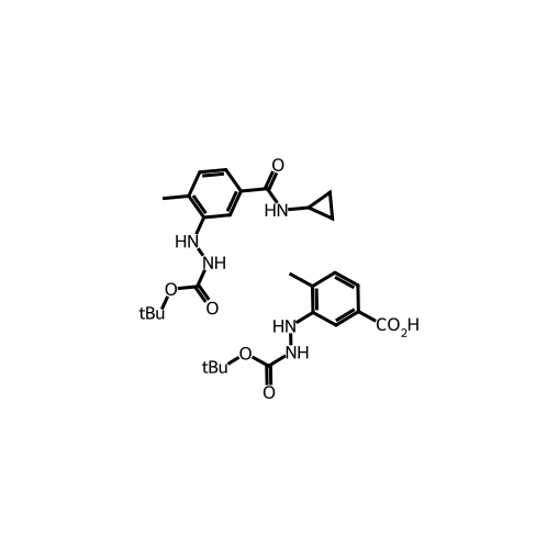 Cc1ccc(C(=O)NC2CC2)cc1NNC(=O)OC(C)(C)C.Cc1ccc(C(=O)O)cc1NNC(=O)OC(C)(C)C